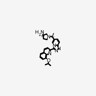 CC(C)Oc1cccc2ccc(-c3nnc4ccc([C@H](C)N5CC[C@@](C)(N)C5)cn34)nc12